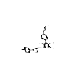 N#Cc1c(N)nc(OCC2COC(c3ccc(Cl)cc3)=N2)c(C#N)c1-c1ccc(CCCO)cc1